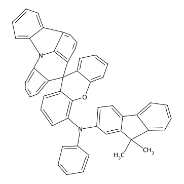 CC1(C)c2ccccc2-c2ccc(N(c3ccccc3)c3cccc4c3Oc3ccccc3C43c4ccccc4-n4c5ccccc5c5cccc3c54)cc21